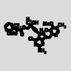 COc1c(C)cnc(Cn2cc(C#C[C@@](C)(O)COC(=O)C(OC)(c3ccccc3)C(F)(F)F)c3c(Cl)nc(N)nc32)c1C